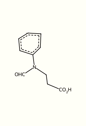 O=CN(CCC(=O)O)c1cc[c]cc1